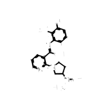 CCc1cccc(/N=C(\C)c2cccnc2N2CCC(N(C)C)C2)c1C(C)=O